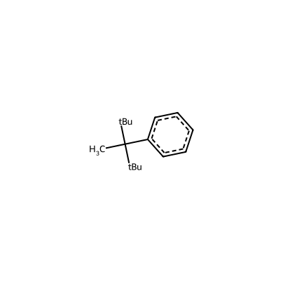 CC(C)(C)C(C)(c1ccccc1)C(C)(C)C